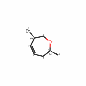 CC[C@@H]1C=CC[C@H](C)OC1